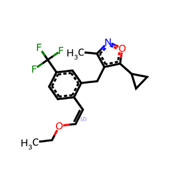 CCO/C=C\c1ccc(C(F)(F)F)cc1Cc1c(C)noc1C1CC1